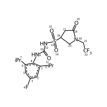 CC(C)c1cc(F)cc(C(C)C)c1NC(=O)NS(=O)(=O)C1CC(=O)N(CC(F)(F)F)C1